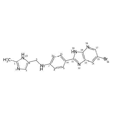 Cc1ncc(CNc2ccc(-c3nc4cc(Br)cnc4[nH]3)cc2)[nH]1